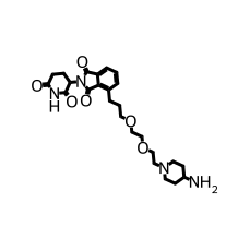 NC1CCN(CCOCCOCCCc2cccc3c2C(=O)N(C2CCC(=O)NC2=O)C3=O)CC1